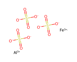 O=S(=O)([O-])[O-].O=S(=O)([O-])[O-].O=S(=O)([O-])[O-].[Al+3].[Fe+3]